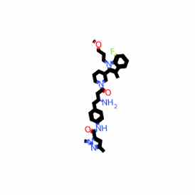 COCCCn1c(C2CCCN(C(=O)C[C@H](N)Cc3ccc(NC(=O)c4cc(C)nn4C)cc3)C2)c(C)c2cccc(F)c21